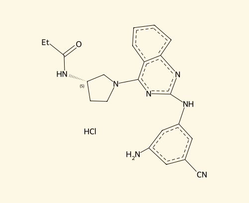 CCC(=O)N[C@H]1CCN(c2nc(Nc3cc(N)cc(C#N)c3)nc3ccccc23)C1.Cl